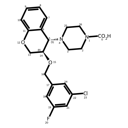 O=C(O)N1CCN([C@H]2c3ccccc3OC[C@@H]2OCc2cc(F)cc(Cl)c2)CC1